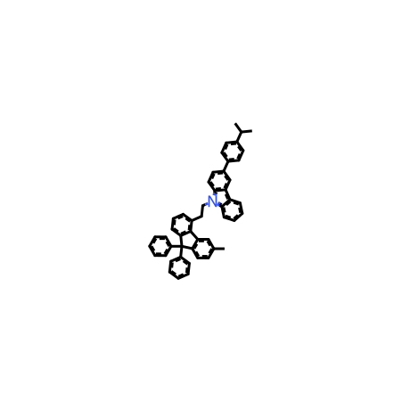 Cc1ccc2c(c1)-c1c(CCn3c4ccccc4c4cc(-c5ccc(C(C)C)cc5)ccc43)cccc1C2(c1ccccc1)c1ccccc1